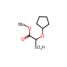 CC(C)(C)OC(=O)C(OC1CCCC1)S(=O)(=O)O